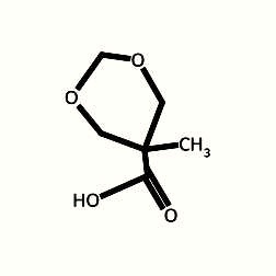 CC1(C(=O)O)COCOC1